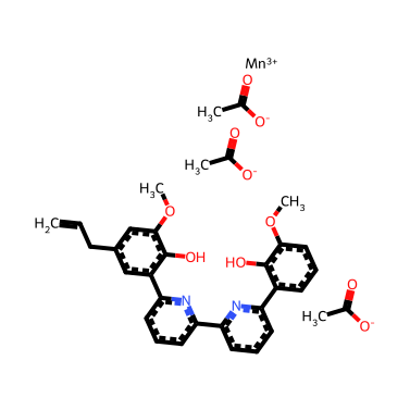 C=CCc1cc(OC)c(O)c(-c2cccc(-c3cccc(-c4cccc(OC)c4O)n3)n2)c1.CC(=O)[O-].CC(=O)[O-].CC(=O)[O-].[Mn+3]